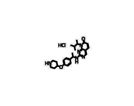 CC(Nc1ncc2ccc(=O)n(C(C)C(C)C)c2n1)c1ccc(OC2CCNCC2)cc1.Cl